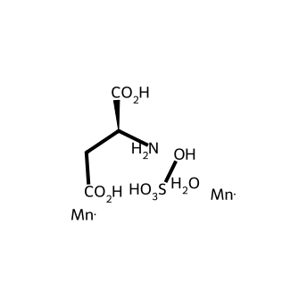 N[C@@H](CC(=O)O)C(=O)O.O.O=S(=O)(O)O.[Mn].[Mn]